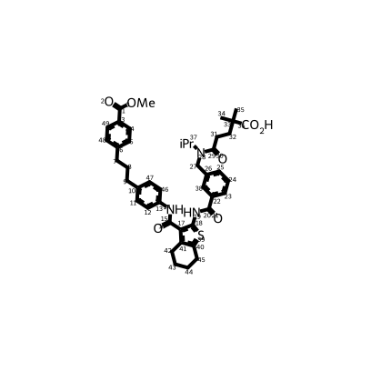 COC(=O)c1ccc(CCCc2ccc(NC(=O)c3c(NC(=O)c4cccc(CN(C(=O)CCC(C)(C)C(=O)O)C(C)C)c4)sc4c3CCCC4)cc2)cc1